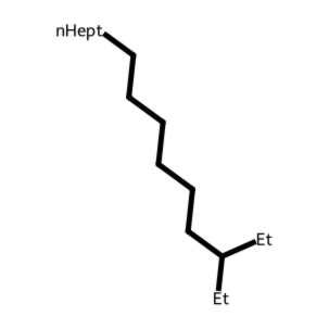 CCCCCCCCCCCCCC(CC)CC